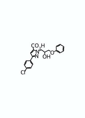 O=C(O)c1cc(-c2ccc(Cl)cc2)nn1CC(O)COc1ccccc1